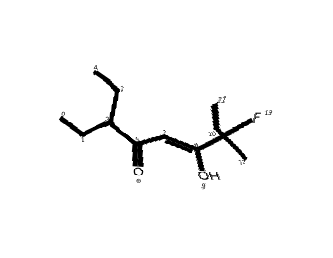 CCC(CC)C(=O)/C=C(\O)C(C)(C)F